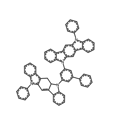 C1=C2c3ccccc3N(c3cc(-c4ccccc4)cc(-n4c5ccccc5c5cc6c(cc54)c4ccccc4n6-c4ccccc4)c3)C2Cc2c1n(-c1ccccc1)c1ccccc21